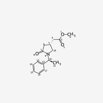 COC(=O)C[C@H]1CC(=O)N([C@@H](C)c2ccccc2)C1